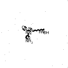 C=C(CCCCCCn1cnc2c(N3CCOCC3)nc(-c3ccc(N)nc3)nc21)NO